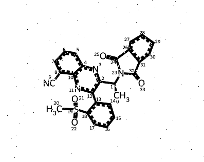 C[C@@H](c1nc2cccc(C#N)c2nc1-c1ccccc1S(C)(=O)=O)N1C(=O)c2ccccc2C1=O